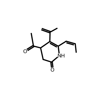 C=C(C)C1=C(/C=C\C)NC(=O)CC1C(C)=O